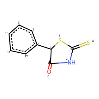 O=C1NC(=S)SC1c1ccccc1